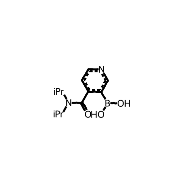 CC(C)N(C(=O)c1ccncc1B(O)O)C(C)C